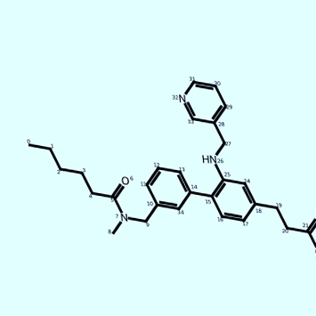 CCCCCC(=O)N(C)Cc1cccc(-c2ccc(CCC(=O)O)cc2NCc2cccnc2)c1